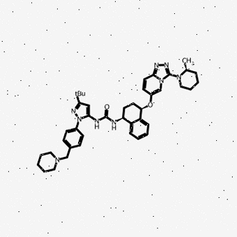 C[C@H]1CCCCN1c1nnc2ccc(O[C@@H]3CC[C@H](NC(=O)Nc4cc(C(C)(C)C)nn4-c4ccc(CN5CCCCC5)cc4)c4ccccc43)cn12